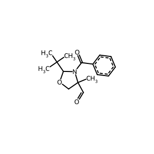 CC(C)(C)C1OCC(C)(C=O)N1C(=O)c1ccccc1